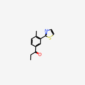 CCC(=O)c1ccc(C)c(-c2nccs2)c1